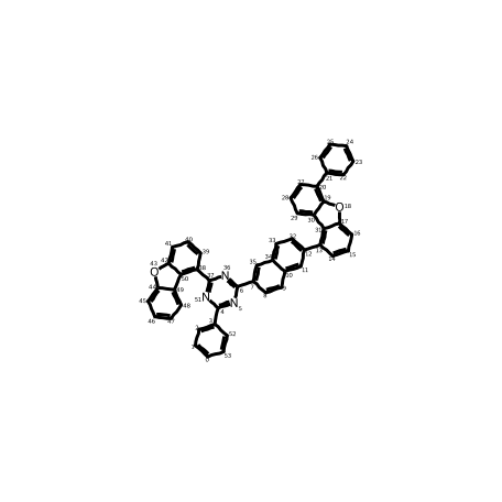 c1ccc(-c2nc(-c3ccc4cc(-c5cccc6oc7c(-c8ccccc8)cccc7c56)ccc4c3)nc(-c3cccc4oc5ccccc5c34)n2)cc1